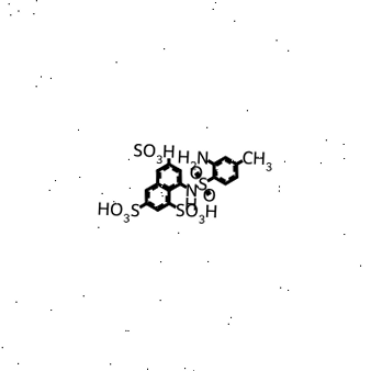 Cc1ccc(S(=O)(=O)Nc2cc(S(=O)(=O)O)cc3cc(S(=O)(=O)O)cc(S(=O)(=O)O)c23)c(N)c1